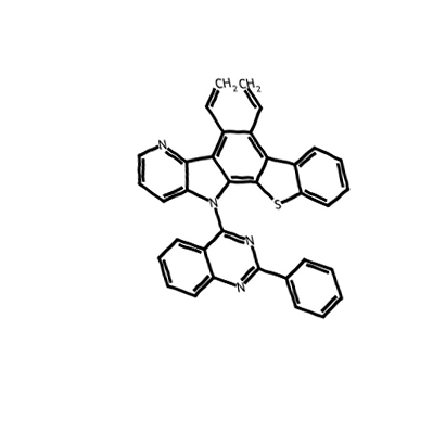 C=Cc1c(C=C)c2c3ncccc3n(-c3nc(-c4ccccc4)nc4ccccc34)c2c2sc3ccccc3c12